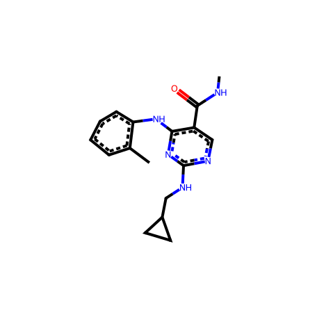 CNC(=O)c1cnc(NCC2CC2)nc1Nc1ccccc1C